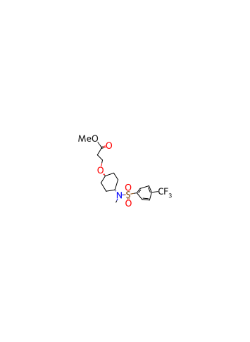 COC(=O)CCO[C@H]1CC[C@H](N(C)S(=O)(=O)c2ccc(C(F)(F)F)cc2)CC1